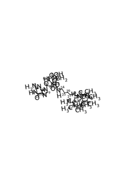 B[PH]1(O)OC[C@H]2O[C@@H](n3cnc4c(=O)[nH]c(N)nc43)[C@@H](OC(=O)NCCCCCCNC(C)(C(C)C(C)C(C)C(C)CC)C(C)C(C)C(C)C(C)CC)[C@H]2O1